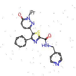 CC(C)n1nc(-c2sc(C(=O)NCc3ccncc3)nc2-c2ccccc2)ccc1=O